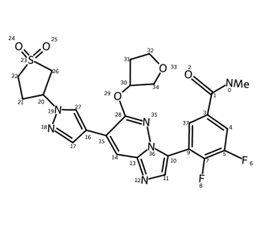 CNC(=O)c1cc(F)c(F)c(-c2cnc3cc(-c4cnn(C5CCS(=O)(=O)C5)c4)c(OC4CCOC4)nn23)c1